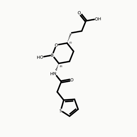 O=C(O)CC[C@@H]1CC[C@H](NC(=O)Cc2cccs2)B(O)O1